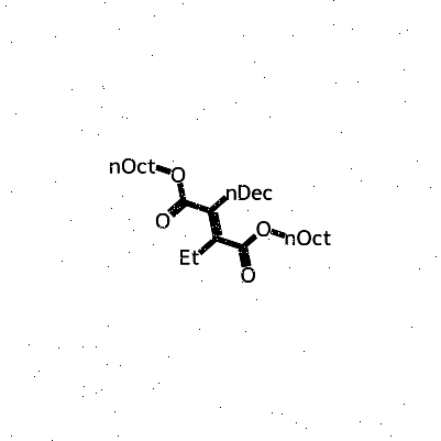 CCCCCCCCCCC(C(=O)OCCCCCCCC)=C(CC)C(=O)OCCCCCCCC